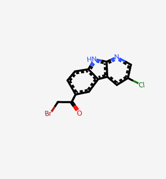 O=C(CBr)c1ccc2[nH]c3ncc(Cl)cc3c2c1